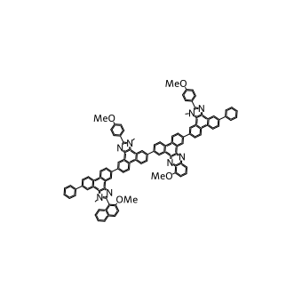 COc1ccc(-c2nc3c4cc(-c5ccccc5)ccc4c4ccc(-c5ccc6c7ccc(-c8ccc9c%10ccc(-c%11ccc%12c%13ccc(-c%14ccccc%14)cc%13c%13c(nc(-c%14c(OC)ccc%15ccccc%14%15)n%13C)c%12c%11)cc%10c%10nc(-c%11ccc(OC)cc%11)n(C)c%10c9c8)cc7c7nc8c(OC)cccc8nc7c6c5)cc4c3n2C)cc1